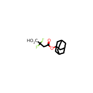 O=C(CC(F)(F)C(=O)O)OC12CC3CC(CC(C3)C1)C2